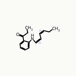 CC/C=C\C=C/Nc1ccccc1C(=O)CC